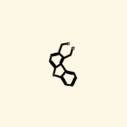 ClCc1ccc2sc3ccccc3c2c1CCl